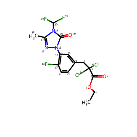 CCOC(=O)C(Cl)(Cl)Cc1ccc(F)c(-n2nc(C)n(C(F)F)c2=O)c1